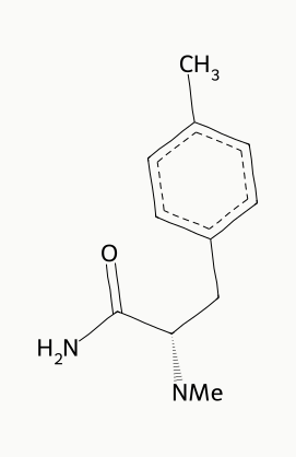 CN[C@@H](Cc1ccc(C)cc1)C(N)=O